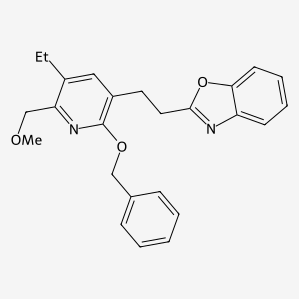 CCc1cc(CCc2nc3ccccc3o2)c(OCc2ccccc2)nc1COC